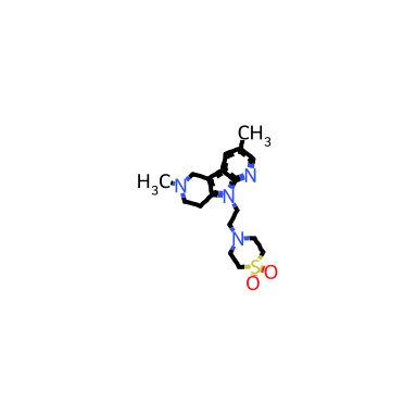 Cc1cnc2c(c1)c1c(n2CCN2CCS(=O)(=O)CC2)CCN(C)C1